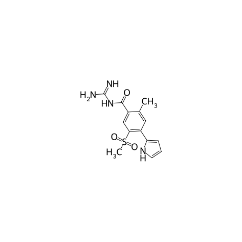 Cc1cc(-c2ccc[nH]2)c(S(C)(=O)=O)cc1C(=O)NC(=N)N